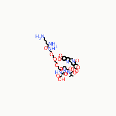 CC(C)C(C(=O)OC1C(=O)OCc2c1cc1n(c2=O)Cc2cc3cc4c(cc3nc2-1)OCO4)N(C)C(=O)C1CCCN1C(=O)[C@H](CC(=O)O)NC(=O)CCOCCOCCOCCNC(=O)C(N)CCCCN